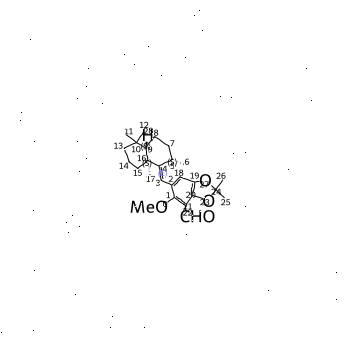 COc1c(/C=C2\[C@@H](C)CC[C@H]3C(C)(C)CCC[C@]23C)cc2c(c1C=O)OC(C)(C)O2